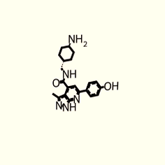 Cc1n[nH]c2nc(-c3ccc(O)cc3)cc(C(=O)NC[C@H]3CC[C@H](N)CC3)c12